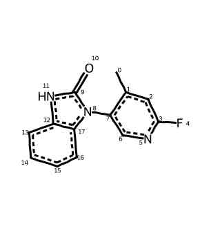 Cc1cc(F)ncc1-n1c(=O)[nH]c2ccccc21